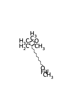 C=C1C(C)=C(C)C(=O)C(C)=C1CCCCCCCCCCOCC(C)(F)F